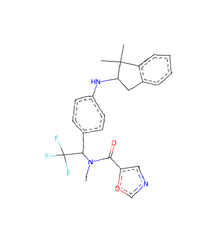 CN(C(=O)c1cnco1)C(c1ccc(NC2Cc3ccccc3C2(C)C)cc1)C(F)(F)F